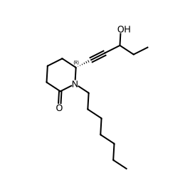 CCCCCCCN1C(=O)CCC[C@@H]1C#CC(O)CC